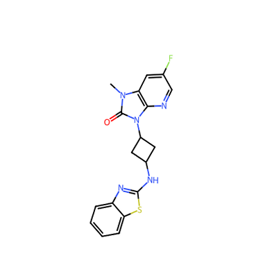 Cn1c(=O)n(C2CC(Nc3nc4ccccc4s3)C2)c2ncc(F)cc21